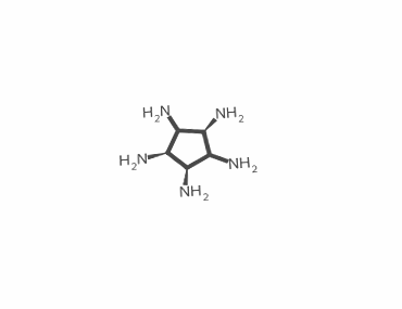 NC1[C@H](N)C(N)[C@H](N)[C@@H]1N